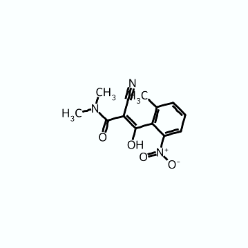 Cc1cccc([N+](=O)[O-])c1C(O)=C(C#N)C(=O)N(C)C